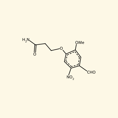 COc1cc(C=O)c([N+](=O)[O-])cc1OCCC(N)=O